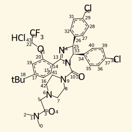 CN(C)C(=O)CN1CCN(C(=O)N2C(c3ccc(C(C)(C)C)cc3OCC(F)(F)F)=N[C@@H](c3ccc(Cl)cc3)[C@H]2c2ccc(Cl)cc2)CC1.Cl